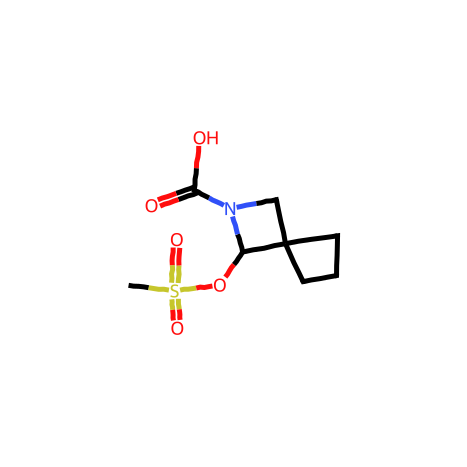 CS(=O)(=O)OC1N(C(=O)O)CC12CCC2